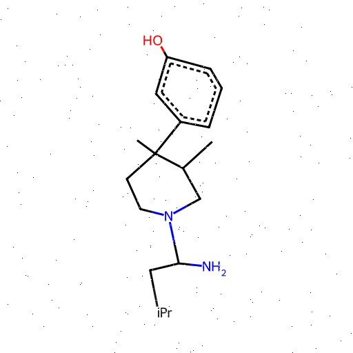 CC(C)CC(N)N1CCC(C)(c2cccc(O)c2)C(C)C1